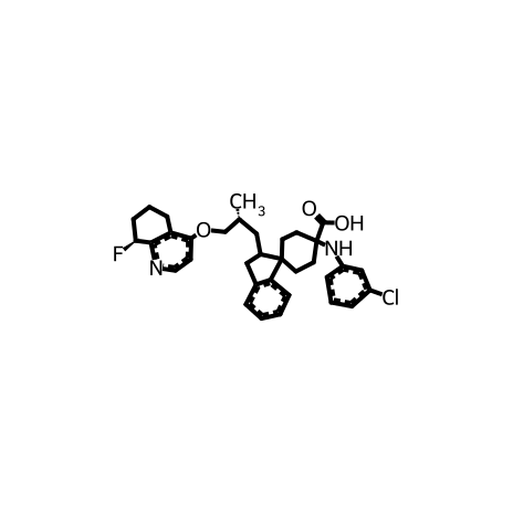 C[C@@H](COc1ccnc2c1CCC[C@@H]2F)CC1Cc2ccccc2C12CCC(Nc1cccc(Cl)c1)(C(=O)O)CC2